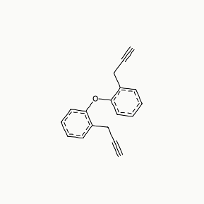 C#CCc1ccccc1Oc1ccccc1CC#C